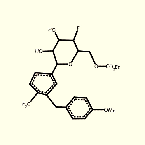 CCOC(=O)OCC1OC(c2ccc(C(F)(F)F)c(Cc3ccc(OC)cc3)c2)C(O)C(O)C1F